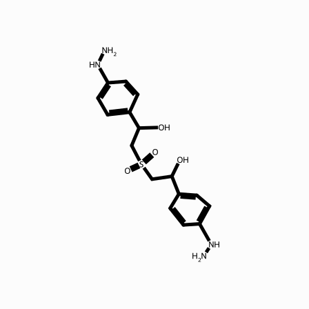 NNc1ccc(C(O)CS(=O)(=O)CC(O)c2ccc(NN)cc2)cc1